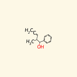 C=C=CC(C)C(O)c1ccccc1